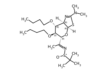 CCCCO[C@@H]1[C@H]2N=C(N(C)C)S[C@H]2O[C@H](C(C)=N[S+]([O-])C(C)(C)C)[C@H]1OCCCC